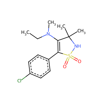 CCN(C)C1=C(c2ccc(Cl)cc2)S(=O)(=O)NC1(C)C